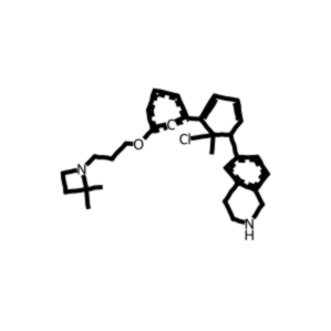 CC1(Cl)C(c2cccc(OCCCN3CCC3(C)C)c2)=CC=CC1c1ccc2c(c1)CCNC2